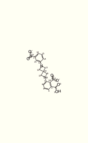 O=C(O)c1cccc(N2CC3(CN(c4cccc([N+](=O)[O-])c4)C3)C2)c1[N+](=O)[O-]